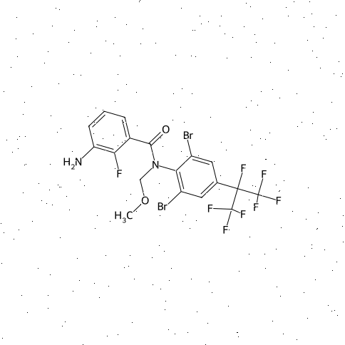 COCN(C(=O)c1cccc(N)c1F)c1c(Br)cc(C(F)(C(F)(F)F)C(F)(F)F)cc1Br